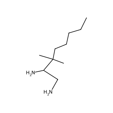 CCCCCC(C)(C)C(N)CN